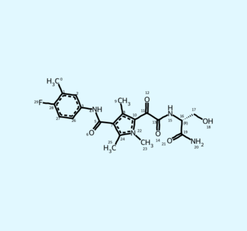 Cc1cc(NC(=O)c2c(C)c(C(=O)C(=O)N[C@H](CO)C(N)=O)n(C)c2C)ccc1F